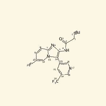 CC(C)(C)CC(=O)Nc1nc2ccc(F)cn2c1-c1cncc(C(F)(F)F)c1